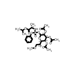 COC[C@H](F)[C@H]1OC(OP(=O)(N[C@@H](C)C(=O)OC(C)C)Oc2ccccc2)[C@@H](OC(C)=O)[C@@H](OC(C)=O)[C@@H]1OC(C)=O